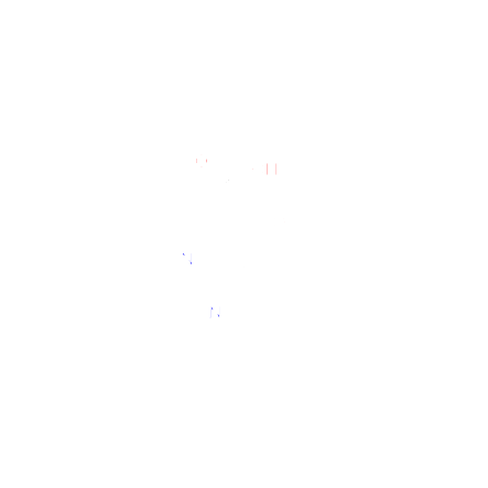 COc1c(C(=O)O)cnc2c1ccn2C